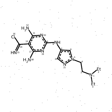 CCN(CC)CCn1cc(Nc2nc(N)c(C(=N)Cl)c(N)n2)cn1